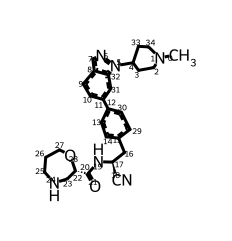 CN1CCC(n2ncc3ccc(-c4ccc(C[C@@H](C#N)NC(=O)[C@@H]5CNCCCO5)cc4)cc32)CC1